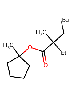 CCC(C)(CC(C)(C)C)C(=O)OC1(C)CCCC1